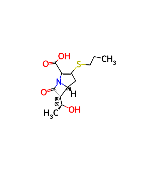 CCCSC1=C(C(=O)O)N2C(=O)[C@@H]([C@H](C)O)[C@H]2C1